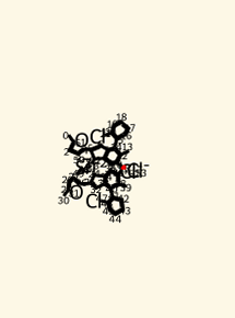 Cc1ccc(C2=Cc3c(cc(C)c(C)c3-c3ccccc3Cl)[CH]2[Zr+2]([CH]2C(c3ccc(C)o3)=Cc3c2cc(C)c(C)c3-c2ccccc2Cl)=[Si](C)C)o1.[Cl-].[Cl-]